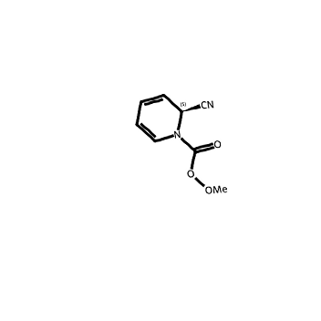 COOC(=O)N1C=CC=C[C@H]1C#N